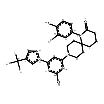 O=C1CCCC2(CCN(c3cc(-n4cc(C(F)(F)F)cn4)nc(Cl)n3)CC2)N1c1ccc(F)c(F)c1